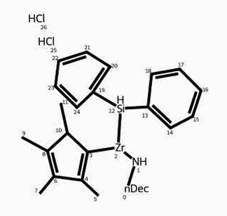 CCCCCCCCCC[NH][Zr]([C]1=C(C)C(C)=C(C)C1C)[SiH](c1ccccc1)c1ccccc1.Cl.Cl